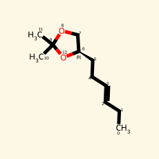 CCC=CCC[C@@H]1COC(C)(C)O1